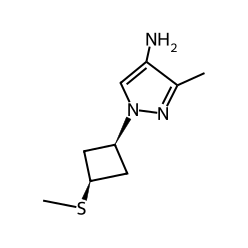 CS[C@H]1C[C@@H](n2cc(N)c(C)n2)C1